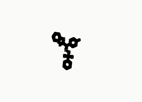 Cc1ccc(/C(=N\OS(=O)(=O)c2ccccc2)c2nc3ccccc3s2)cc1